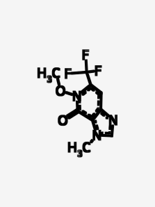 COn1c(C(F)(F)F)cc2ncn(C)c2c1=O